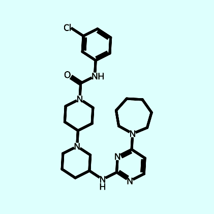 O=C(Nc1cccc(Cl)c1)N1CCC(N2CCCC(Nc3nccc(N4CCCCCC4)n3)C2)CC1